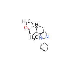 CC[C@@H]1C(=O)CC[C@]2(C)c3nc(-c4ccccc4)ncc3CC[C@@H]12